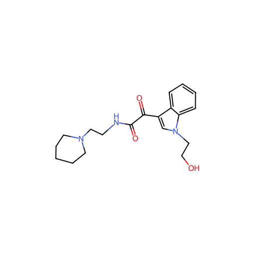 O=C(NCCN1CCCCC1)C(=O)c1cn(CCO)c2ccccc12